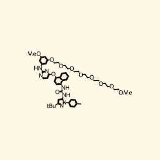 COCCOCCOCCOCCOCCOCCOCCOc1cc(Nc2nccc(Oc3ccc(NC(=O)Nc4cc(C(C)(C)C)nn4-c4ccc(C)cc4)c4ccccc34)n2)cc(OC)c1